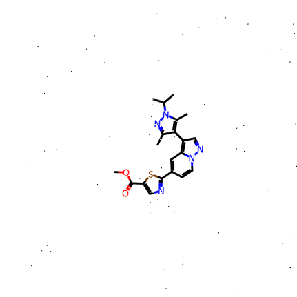 COC(=O)c1cnc(-c2ccn3ncc(-c4c(C)nn(C(C)C)c4C)c3c2)s1